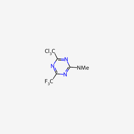 CNc1nc(C(F)(F)F)nc(C(Cl)(Cl)Cl)n1